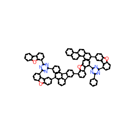 c1ccc(-c2nc(-c3cccc4c3oc3ccccc34)nc(-c3cccc4oc5ccc(-c6ccc7c8c(cccc68)-c6cc(-c8cccc9c8oc8cccc(-c%10nc(-c%11ccccc%11)nc(-c%11cccc%12oc%13ccc(-c%14ccc%15c(ccc%16c%17ccccc%17ccc%15%16)c%14)cc%13c%11%12)n%10)c89)ccc6-7)cc5c34)n2)cc1